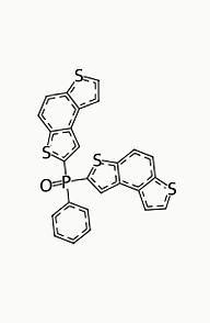 O=P(c1ccccc1)(c1cc2c(ccc3sccc32)s1)c1cc2c(ccc3sccc32)s1